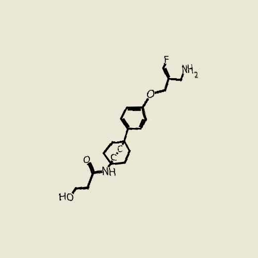 NCC(=CF)COc1ccc(C23CCC(NC(=O)CCO)(CC2)CC3)cc1